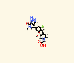 COc1cc(-c2cn(C)c(=O)c3[nH]ncc23)cc(F)c1C=C1CCN(CC(=O)O)CC1